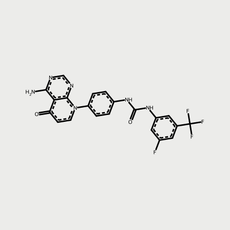 Nc1ncnc2c1c(=O)ccn2-c1ccc(NC(=O)Nc2cc(F)cc(C(F)(F)F)c2)cc1